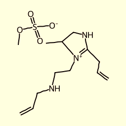 C=CCNCC[N+]1=C(CC=C)NCC1C.COS(=O)(=O)[O-]